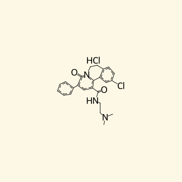 CN(C)CCNC(=O)c1cc(-c2ccccc2)c(=O)n2c1-c1cc(Cl)ccc1CC2.Cl